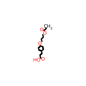 C=CC(=O)OCCCCOc1ccc(C=CC(=O)O)cc1